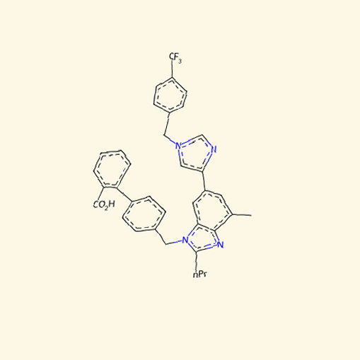 CCCc1nc2c(C)cc(-c3cn(Cc4ccc(C(F)(F)F)cc4)cn3)cc2n1Cc1ccc(-c2ccccc2C(=O)O)cc1